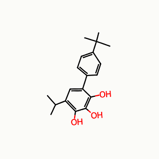 CC(C)c1cc(-c2ccc(C(C)(C)C)cc2)c(O)c(O)c1O